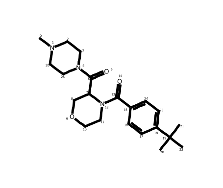 CN1CCN(C(=O)C2COCCN2C(=O)c2ccc(C(C)(C)C)cc2)CC1